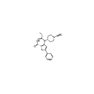 CCC(=O)N(c1cc(-c2ccccc2)sc1C(=O)O)C1CCN(C#N)CC1